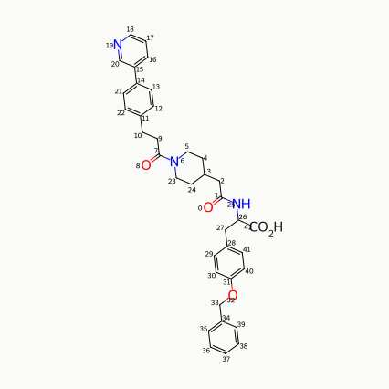 O=C(CC1CCN(C(=O)CCc2ccc(-c3cccnc3)cc2)CC1)NC(Cc1ccc(OCc2ccccc2)cc1)C(=O)O